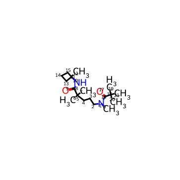 CN(CCCC(C)(C)C(=O)NC1(C)CCC1)C(=O)C(C)(C)C